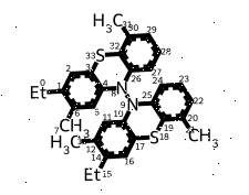 CCc1cc2c(cc1C)N(N1c3cc(C)c(CC)cc3Sc3c(C)cccc31)c1cccc(C)c1S2